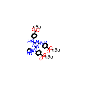 CCCCOC(=O)c1ccc(Nc2nc(Nc3ccc(C(=O)OCCCC)cc3)nc(Nc3ccc(C(=O)OCCCC)cc3)n2)cc1.c1cnnnc1